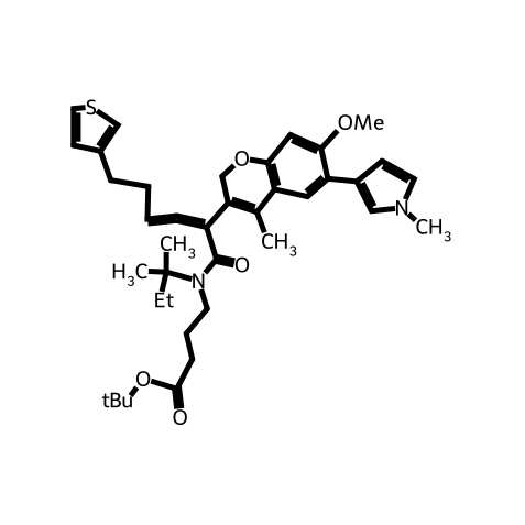 CCC(C)(C)N(CCCC(=O)OC(C)(C)C)C(=O)C(=C=CCCc1ccsc1)C1=C(C)c2cc(-c3ccn(C)c3)c(OC)cc2OC1